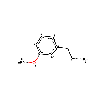 CCCOc1cccc(CCC(C)=O)c1